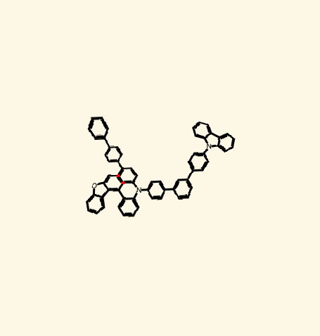 c1ccc(-c2ccc(-c3ccc(N(c4ccc(-c5cccc(-c6ccc(-n7c8ccccc8c8ccccc87)cc6)c5)cc4)c4ccccc4-c4cccc5oc6ccccc6c45)cc3)cc2)cc1